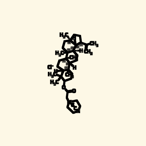 C=C(C)[C@@H]1CC[C@]2(C)CC[C@]3(C)[C@H](CC[C@@H]4[C@@]5(C)CCC(OC(=O)C[N+]67CCN(CC6)CC7)C(C)(C)[C@@H]5CC[C@]43C)[C@@H]12.[Cl-]